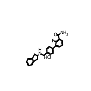 Cl.NC(=O)c1cccc(-c2ccc(CNC3Cc4ccccc4C3)cc2)c1F